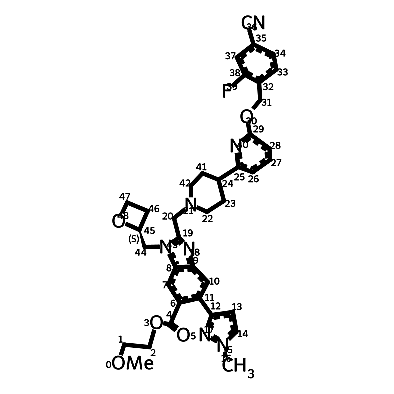 COCCOC(=O)c1cc2c(cc1-c1ccn(C)n1)nc(CN1CCC(c3cccc(OCc4ccc(C#N)cc4F)n3)CC1)n2C[C@@H]1CCO1